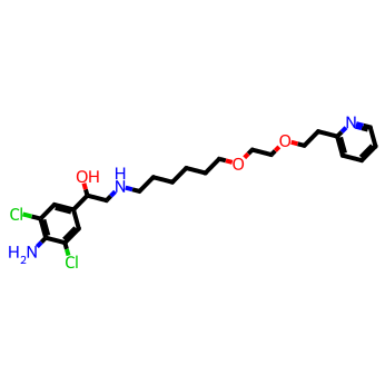 Nc1c(Cl)cc(C(O)CNCCCCCCOCCOCCc2ccccn2)cc1Cl